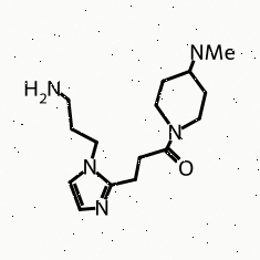 CNC1CCN(C(=O)CCc2nccn2CCCN)CC1